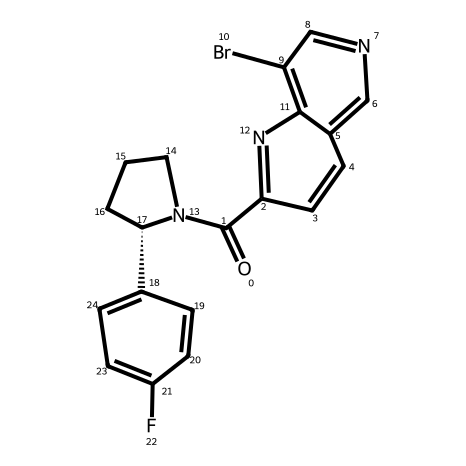 O=C(c1ccc2cncc(Br)c2n1)N1CCC[C@H]1c1ccc(F)cc1